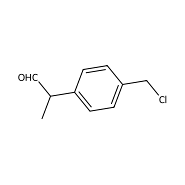 CC(C=O)c1ccc(CCl)cc1